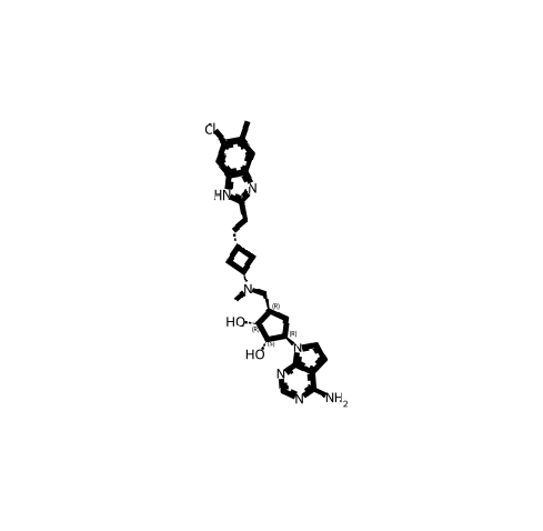 Cc1cc2nc(CC[C@H]3C[C@@H](N(C)C[C@H]4C[C@@H](n5ccc6c(N)ncnc65)[C@H](O)[C@@H]4O)C3)[nH]c2cc1Cl